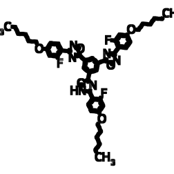 CCCCCCOc1ccc(-c2noc(-c3cc(C4=NC(c5ccc(OCCCCCC)cc5F)NO4)cc(-c4nc(-c5ccc(OCCCCCC)cc5F)no4)c3)n2)c(F)c1